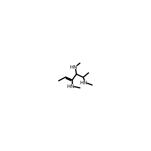 CC=C(NC)C(NC)C(C)NC